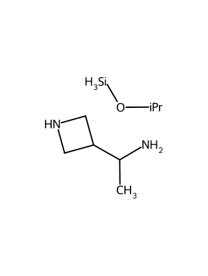 CC(C)O[SiH3].CC(N)C1CNC1